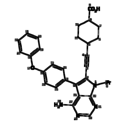 CC(C)n1c(C#CC2CCC(C(=O)O)CC2)c(-c2ccc(Oc3ccccc3)cc2)c2c(N)ncnc21